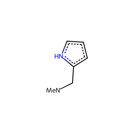 CNCc1ccc[nH]1